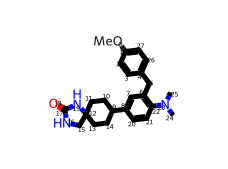 COc1ccc(Cc2cc(C3CCC4(CC3)CNC(=O)N4)ccc2N(C)C)cc1